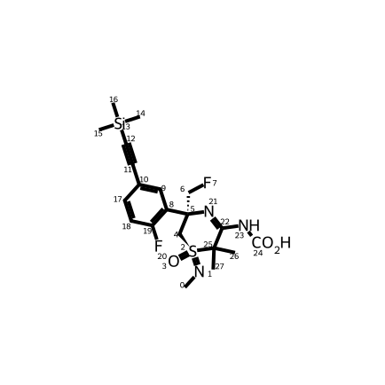 CN=[S@@]1(=O)C[C@@](CF)(c2cc(C#C[Si](C)(C)C)ccc2F)N=C(NC(=O)O)C1(C)C